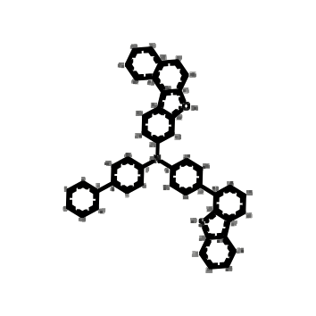 c1ccc(-c2ccc(N(c3ccc(-c4cccc5c4sc4ccccc45)cc3)c3ccc4c(c3)oc3ccc5ccccc5c34)cc2)cc1